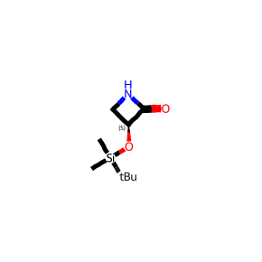 CC(C)(C)[Si](C)(C)O[C@H]1CNC1=O